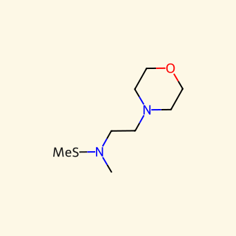 CSN(C)CCN1CCOCC1